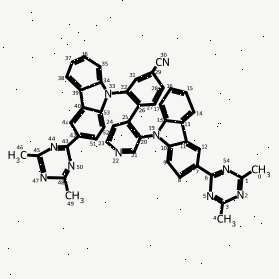 Cc1nc(C)nc(-c2ccc3c(c2)c2ccccc2n3-c2cnccc2-c2ccc(C#N)cc2-n2c3ccccc3c3cc(-c4nc(C)nc(C)n4)ccc32)n1